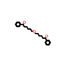 O=C(CCCCCOCCCCCC(=O)c1ccccc1)c1ccccc1